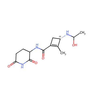 CC1=C(C(=O)NC2CCC(=O)NC2=O)C[C@@H]1NC(C)O